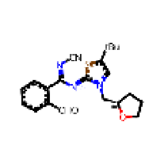 CC(C)(C)c1cn(C[C@H]2CCCO2)/c(=N/C(=NC#N)c2ccccc2C=O)s1